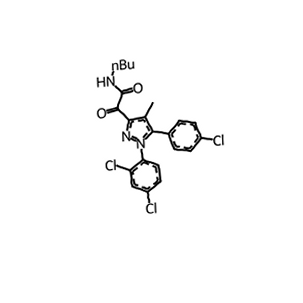 CCCCNC(=O)C(=O)c1nn(-c2ccc(Cl)cc2Cl)c(-c2ccc(Cl)cc2)c1C